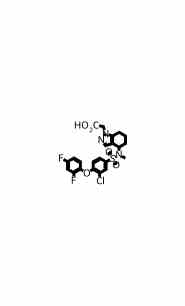 CN(C1CCCc2c1cnn2CC(=O)O)S(=O)(=O)c1ccc(Oc2ccc(F)cc2F)c(Cl)c1